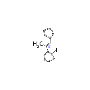 C/C(=C\c1ccccc1)c1ccccc1I